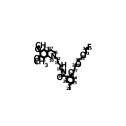 COc1cc2c(cc1OC)CN(CCCCNC(=O)c1cc(I)ccc1OCCOCCOCCF)CC2